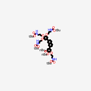 CCCCOc1cc(-c2ccc3ccc(-c4cc(OCCCNC(=O)OC(C)(C)C)c(OCCCNC(=O)OC(C)(C)C)c(OCCCNC(=O)OC(C)(C)C)c4)cc3c2)cc(OCCCNC(=O)OC(C)(C)C)c1OCCCC